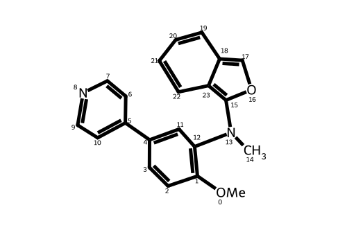 COc1ccc(-c2ccncc2)cc1N(C)c1occ2ccccc12